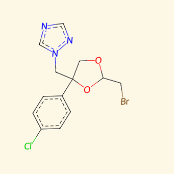 Clc1ccc(C2(Cn3cncn3)COC(CBr)O2)cc1